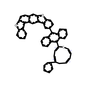 C1=C\C/C(c2ccccc2)=C\C=C(\c2c3ccccc3c(-c3ccc4oc5cc6ccc7oc8ccccc8c7c6cc5c4c3)c3ccccc23)C\C=C/1